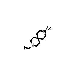 CC(=O)N1CCC2(CCN(CI)CC2)CC1